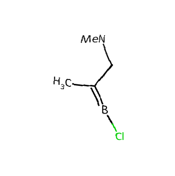 CNCC(C)=BCl